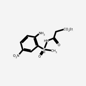 CCOC(=O)CC(=O)N[SH](C)(=O)c1cc([N+](=O)[O-])ccc1N